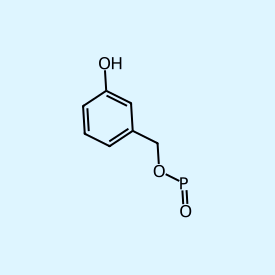 O=POCc1cccc(O)c1